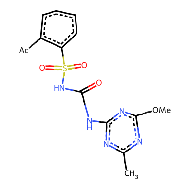 COc1nc(C)nc(NC(=O)NS(=O)(=O)c2ccccc2C(C)=O)n1